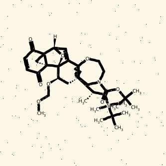 COCO[C@@H]1C[C@@]23CN(C(=O)OC(C)(C)C)CCO[C@@]2(CC=C3[C@@H](C)O[Si](C)(C)C(C)(C)C)C2=C[C@@H]3O[C@@]21[C@]12CC31C(=O)C=CC2=O